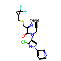 C#CCN(C(=O)C(CSCC1CC1(F)F)=NOC)c1cn(-c2cccnc2)nc1Cl